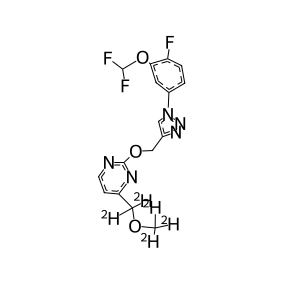 [2H]C([2H])([2H])OC([2H])([2H])c1ccnc(OCc2cn(-c3ccc(F)c(OC(F)F)c3)nn2)n1